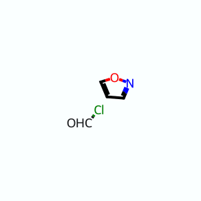 O=CCl.c1cnoc1